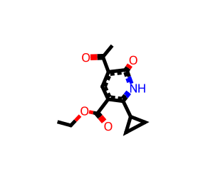 CCOC(=O)c1cc(C(C)=O)c(=O)[nH]c1C1CC1